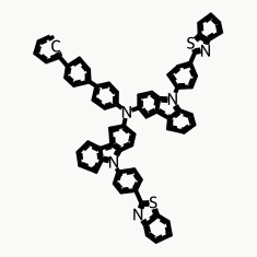 c1ccc(-c2ccc(-c3ccc(N(c4ccc5c(c4)c4ccccc4n5-c4ccc(-c5nc6ccccc6s5)cc4)c4ccc5c(c4)c4ccccc4n5-c4ccc(-c5nc6ccccc6s5)cc4)cc3)cc2)cc1